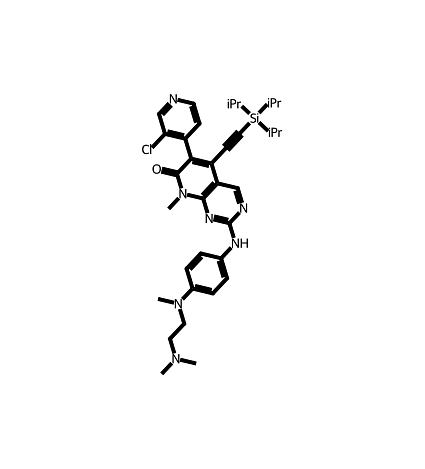 CC(C)[Si](C#Cc1c(-c2ccncc2Cl)c(=O)n(C)c2nc(Nc3ccc(N(C)CCN(C)C)cc3)ncc12)(C(C)C)C(C)C